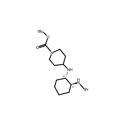 CC(C)N[C@H]1CCCC[C@@H]1NC1CCN(C(=O)OC(C)(C)C)CC1